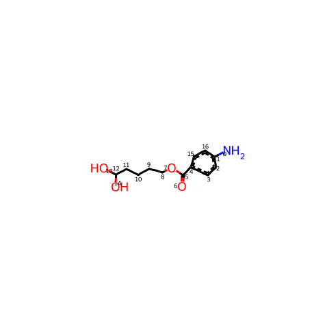 Nc1ccc(C(=O)OCCCCC(O)O)cc1